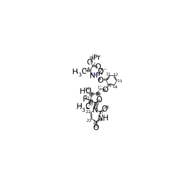 CC(C)OC(=O)[C@H](C)/N=[P+](\[O-])Oc1ccccc1OC[C@H]1O[C@@H](n2ccc(=O)[nH]c2=O)[C@](C)(F)[C@@H]1O